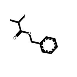 CC(I)C(=O)OCc1ccccc1